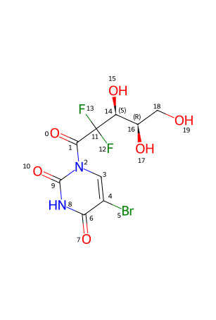 O=C(n1cc(Br)c(=O)[nH]c1=O)C(F)(F)[C@@H](O)[C@H](O)CO